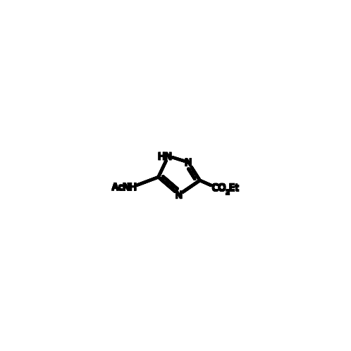 CCOC(=O)c1n[nH]c(NC(C)=O)n1